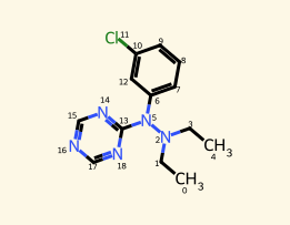 CCN(CC)N(c1cccc(Cl)c1)c1ncncn1